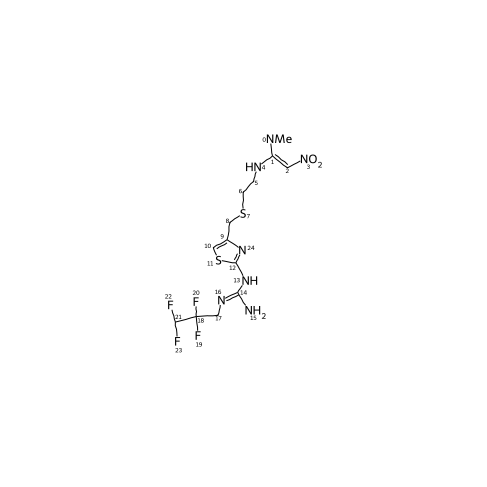 CNC(=C[N+](=O)[O-])NCCSCc1csc(NC(N)=NCC(F)(F)C(F)F)n1